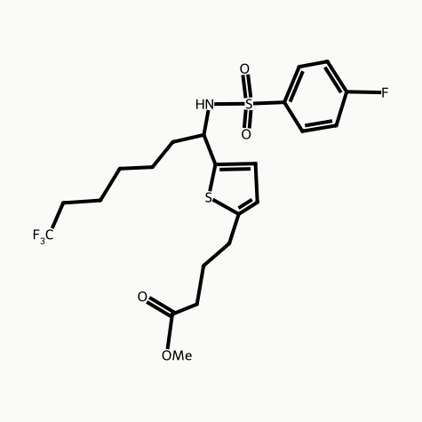 COC(=O)CCCc1ccc(C(CCCCCC(F)(F)F)NS(=O)(=O)c2ccc(F)cc2)s1